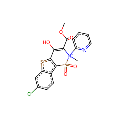 COC(=O)C1=C(O)c2sc3cc(Cl)ccc3c2S(=O)(=O)[N+]1(C)c1ccccn1